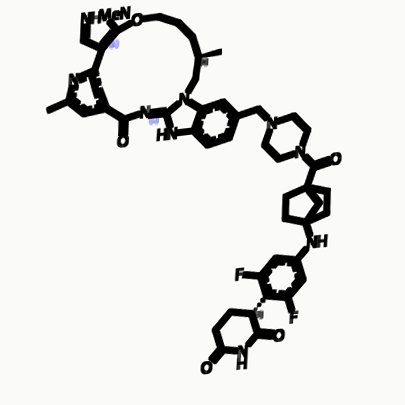 CN/C1=C(\C=N)c2cc(cc(C)n2)C(=O)/N=C2\Nc3ccc(CN4CCN(C(=O)C56CCC(Nc7cc(F)c([C@H]8CCC(=O)NC8=O)c(F)c7)(CC5)C6)CC4)cc3N2C[C@H](C)CCCO1